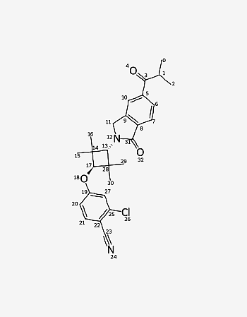 CC(C)C(=O)c1ccc2c(c1)CN([C@H]1C(C)(C)[C@H](Oc3ccc(C#N)c(Cl)c3)C1(C)C)C2=O